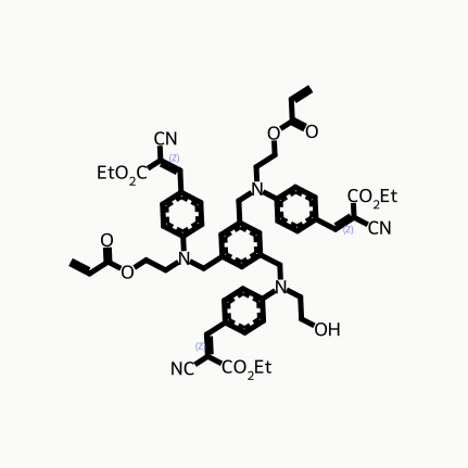 C=CC(=O)OCCN(Cc1cc(CN(CCO)c2ccc(/C=C(/C#N)C(=O)OCC)cc2)cc(CN(CCOC(=O)C=C)c2ccc(/C=C(/C#N)C(=O)OCC)cc2)c1)c1ccc(/C=C(/C#N)C(=O)OCC)cc1